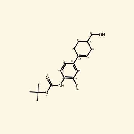 CC(C)(C)OC(=O)Nc1ccc(C2=CCC(CO)CC2)cc1F